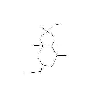 COC1(C)O[C@H]2O[C@H](CO)CC(O)[C@@H]2O1